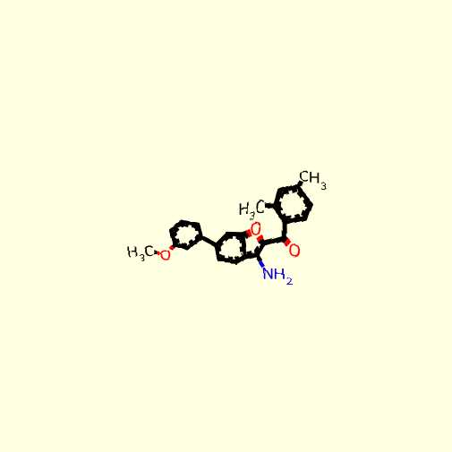 COc1cccc(-c2ccc3c(N)c(C(=O)c4ccc(C)cc4C)oc3c2)c1